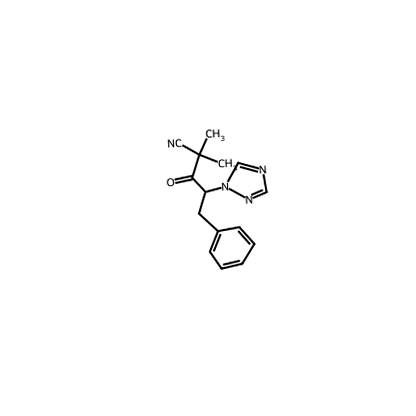 CC(C)(C#N)C(=O)C(Cc1ccccc1)n1cncn1